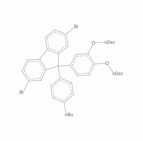 CCCCCCCCCCOc1ccc(C2(c3ccc(CCCC)cc3)c3cc(Br)ccc3-c3ccc(Br)cc32)cc1OCCCCCCCCCC